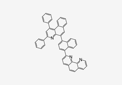 c1ccc(-c2cc(-c3ccccc3)c3c(n2)c(-c2ccc(-c4ccc5ccc6cccnc6c5n4)c4ccccc24)cc2ccccc23)cc1